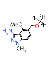 [2H]C([2H])([2H])OCc1ccc2c(c(N)nn2C)c1OC